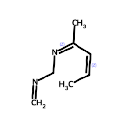 C=NC/N=C(C)\C=C/C